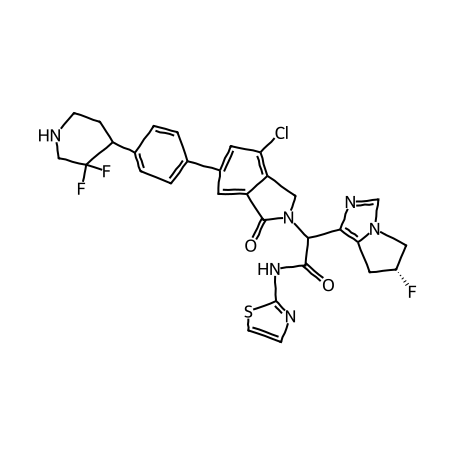 O=C(Nc1nccs1)C(c1ncn2c1C[C@@H](F)C2)N1Cc2c(Cl)cc(-c3ccc(C4CCNCC4(F)F)cc3)cc2C1=O